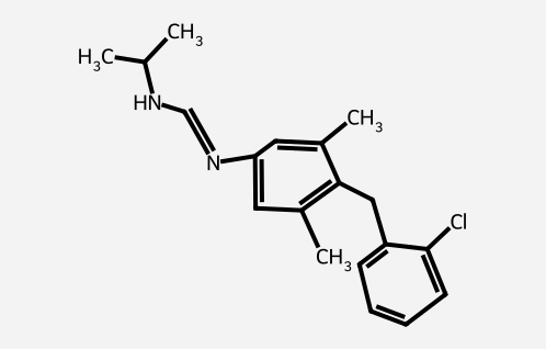 Cc1cc(N=CNC(C)C)cc(C)c1Cc1ccccc1Cl